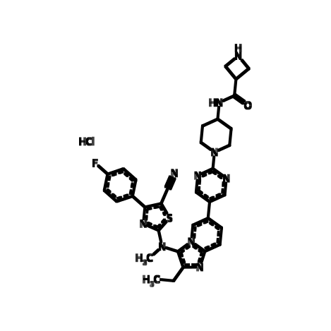 CCc1nc2ccc(-c3cnc(N4CCC(NC(=O)C5CNC5)CC4)nc3)cn2c1N(C)c1nc(-c2ccc(F)cc2)c(C#N)s1.Cl